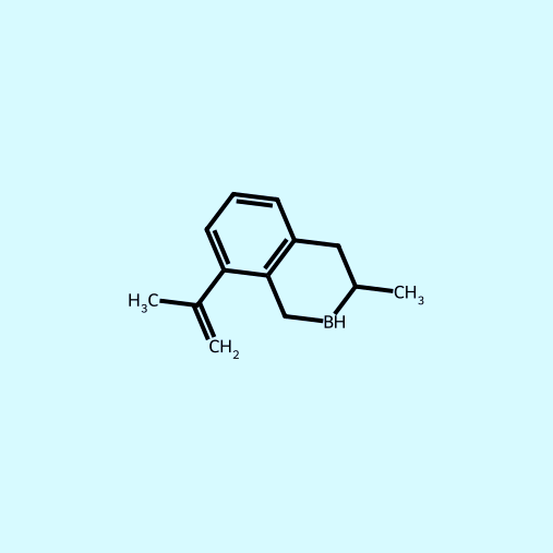 C=C(C)c1cccc2c1CBC(C)C2